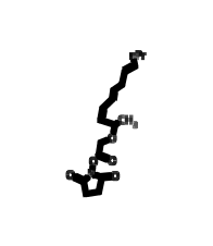 CCC/C=C/C/C=C/C=C\C(C)OCC(=O)ON1C(=O)CCC1=O